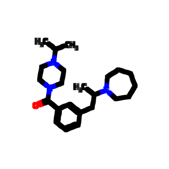 CC(C)N1CCN(C(=O)c2cccc(CC(C)N3CCCCCC3)c2)CC1